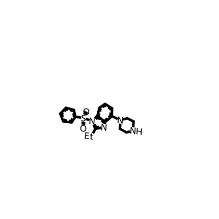 CCc1nc2c(N3CCNCC3)cccc2n1S(=O)(=O)c1ccccc1